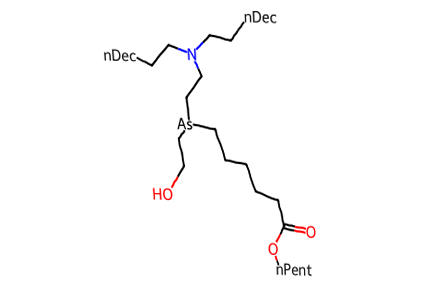 CCCCCCCCCCCCN(CCCCCCCCCCCC)CC[As](CCO)CCCCCC(=O)OCCCCC